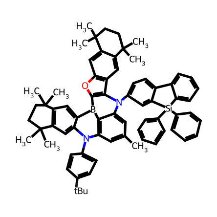 Cc1cc2c3c(c1)N(c1ccc4c(c1)[Si](c1ccccc1)(c1ccccc1)c1ccccc1-4)c1c(oc4cc5c(cc14)C(C)(C)CCC5(C)C)B3c1cc3c(cc1N2c1ccc(C(C)(C)C)cc1)C(C)(C)CCC3(C)C